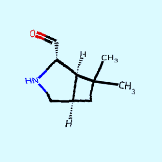 CC1(C)C[C@H]2CN[C@H](C=O)[C@H]21